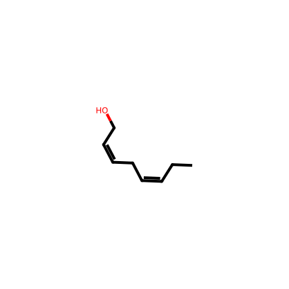 CC/C=C\C/C=C\CO